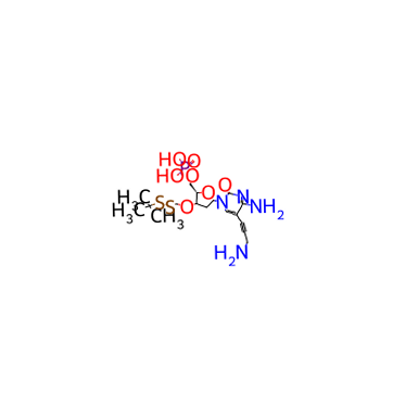 CC(C)(C)SSCOC1C[C@H](n2cc(C#CCN)c(N)nc2=O)O[C@@H]1COP(=O)(O)O